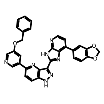 c1ccc(COc2cncc(-c3ccc4[nH]nc(-c5nc6c(-c7ccc8c(c7)OCO8)ccnc6[nH]5)c4n3)c2)cc1